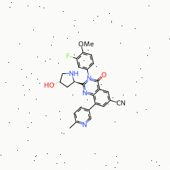 COc1ccc(-n2c([C@H]3C[C@H](O)CN3)nc3c(-c4ccc(C)nc4)cc(C#N)cc3c2=O)cc1F